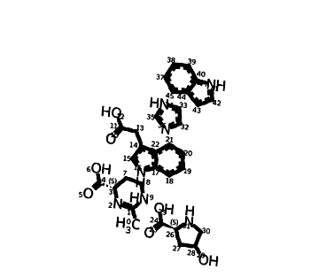 CC1=N[C@H](C(=O)O)CCN1.O=C(O)Cc1c[nH]c2ccccc12.O=C(O)[C@@H]1CC(O)CN1.c1c[nH]cn1.c1ccc2[nH]ccc2c1